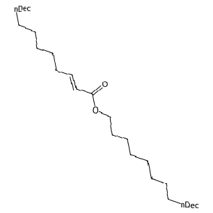 CCCCCCCCCCCCCCC/C=C/C(=O)OCCCCCCCCCCCCCCCCCC